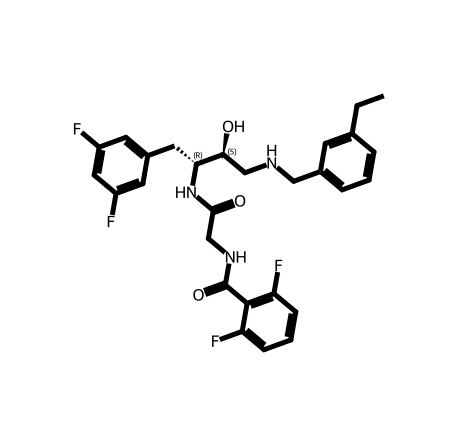 CCc1cccc(CNC[C@H](O)[C@@H](Cc2cc(F)cc(F)c2)NC(=O)CNC(=O)c2c(F)cccc2F)c1